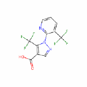 O=C(O)c1cnn(-c2ncccc2C(F)(F)F)c1C(F)(F)F